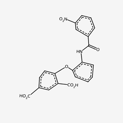 O=C(O)c1ccc(Oc2ccccc2NC(=O)c2cccc([N+](=O)[O-])c2)c(C(=O)O)c1